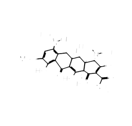 COc1cc(N(C)C)c2c(c1O)C(=O)C1=C(O)[C@]3(O)C(=O)C(C(N)=O)=C(O)[C@@H](N(C)C)[C@@H]3C[C@@H]1C2